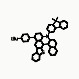 CC(C)(C)c1ccc(-c2ccc(N(c3ccc4c(c3)-c3ccccc3C4(C)C)c3ccc4ccccc4c3-c3cccc4c3sc3ccccc34)cc2)cc1